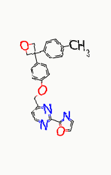 Cc1ccc(C2(c3ccc(OCc4ccnc(-c5ncco5)n4)cc3)COC2)cc1